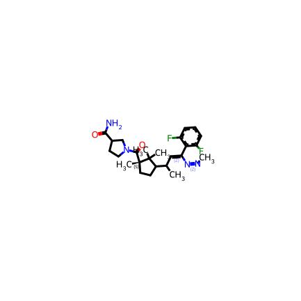 C/N=N\C(=C/C(C)C1CC[C@](C)(C(=O)N2CCC(C(N)=O)C2)C1(C)C)c1c(F)cccc1F